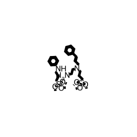 CO[Si](CCCN(CC=Cc1ccccc1)CCN)(OC)OC.CO[Si](CCCNc1ccccc1)(OC)OC